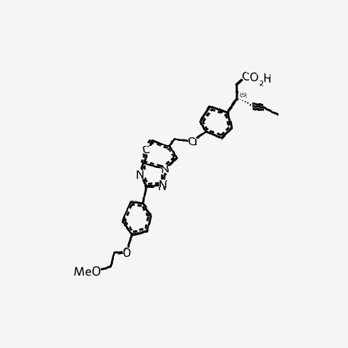 CC#C[C@@H](CC(=O)O)c1ccc(OCc2ccc3nc(-c4ccc(OCCOC)cc4)nn3c2)cc1